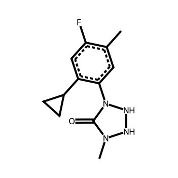 Cc1cc(N2NNN(C)C2=O)c(C2CC2)cc1F